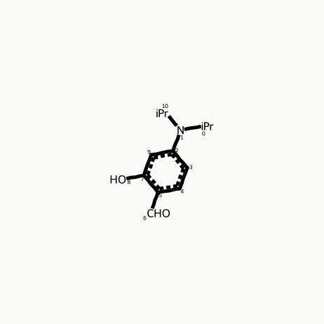 CC(C)N(c1ccc(C=O)c(O)c1)C(C)C